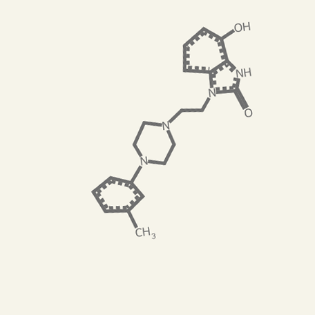 Cc1cccc(N2CCN(CCn3c(=O)[nH]c4c(O)cccc43)CC2)c1